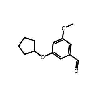 COc1cc(C=O)cc(OC2CCCC2)c1